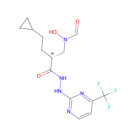 O=CN(O)C[C@@H](CCC1CC1)C(=O)NNc1nccc(C(F)(F)F)n1